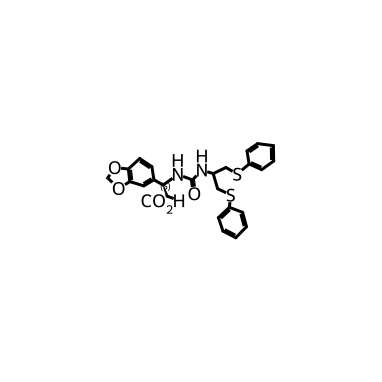 O=C(O)C[C@H](NC(=O)NC(CSc1ccccc1)CSc1ccccc1)c1ccc2c(c1)OCO2